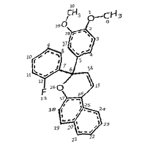 COc1ccc(C2(c3ccccc3F)C=Cc3c(ccc4ccccc34)O2)cc1OC